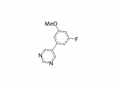 COc1cc(F)cc(-c2cn[c]nc2)c1